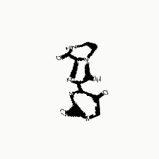 [2H]c1c(-c2nc(Cl)ncc2Cl)nc2n1CCNC2=O